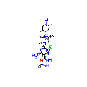 CC[C@H]1CN(c2nc(N)c(C(=N)OC(C)=N)nc2Cl)CCN1C1CCNCC1